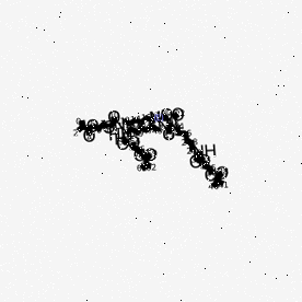 C=C(C)C(=O)OCCOC(=O)NCCCCCC/N=c1/oc(=O)n(CCCCCCNC(=O)OCCOC(=O)C(=C)C)c(=O)n1CCCCCCNC(=O)OCCOC(=O)C(=C)C